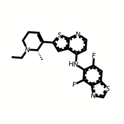 CCN1CCC=C(c2cc3c(Nc4c(F)cc5scnc5c4F)ccnc3s2)[C@@H]1C